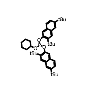 CC(C)(C)c1ccc2cc(OP(Oc3cc4ccc(C(C)(C)C)cc4cc3C(C)(C)C)OC3CCCCC3)c(C(C)(C)C)cc2c1